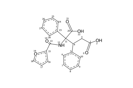 O=C(O)CC(c1ccccc1)C(NC(=O)c1ccco1)(C(=O)O)c1ccccc1